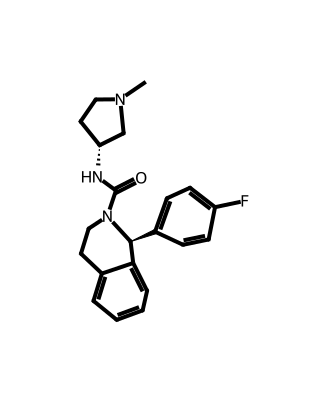 CN1CC[C@@H](NC(=O)N2CCc3ccccc3[C@@H]2c2ccc(F)cc2)C1